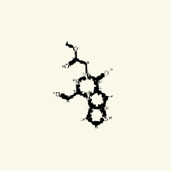 COC(=O)Cn1nc(C=O)n2c(cc3sccc32)c1=O